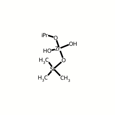 CC(C)[O][Zr]([OH])([OH])[O][Si](C)(C)C